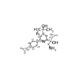 CC(C)(O)c1cc(C(O)(CN)C2CC2)nc(-c2ccc(C3CC3)cc2)c1F